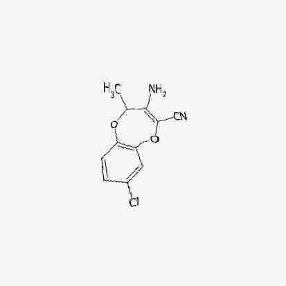 CC1Oc2ccc(Cl)cc2OC(C#N)=C1N